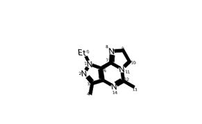 CCn1nc(C)c2c1C1=NCCN1C(C)=N2